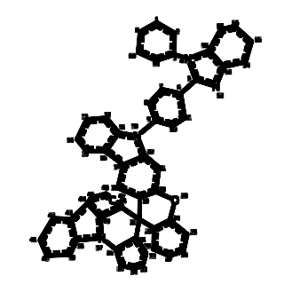 c1ccc(-n2c(-c3ccc(-n4c5ccccc5c5cc6c(cc54)Oc4ccccc4C64c5ccccc5-n5c6ccccc6c6cccc4c65)cc3)nc3ccccc32)cc1